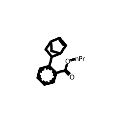 CCCOC(=O)c1ccccc1C1CC2C=CC1C2